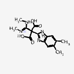 C/N=C(\NC)C(C(=O)O)(C(=O)O)c1nc2cc(C)c(C)cc2[nH]1